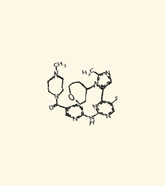 Cc1ncc(-c2nc(Nc3ccc(C(=O)N4CCN(C)CC4)cn3)ncc2F)n1C1CCOCC1